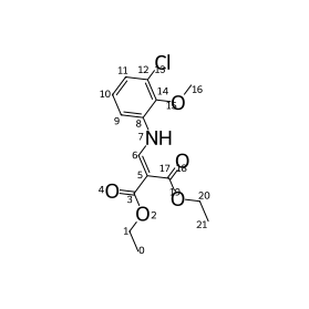 CCOC(=O)C(=CNc1cccc(Cl)c1OC)C(=O)OCC